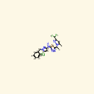 Cc1cc(C(F)F)nn1C(C)c1nnc(Nc2ccn(Cc3ccccc3Cl)n2)s1